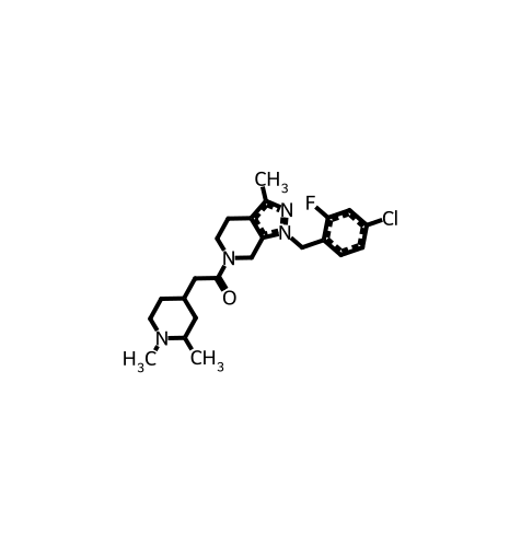 Cc1nn(Cc2ccc(Cl)cc2F)c2c1CCN(C(=O)CC1CCN(C)C(C)C1)C2